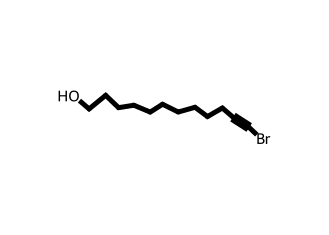 OCCCCCCCCCCC#CBr